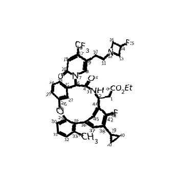 CCOC(=O)C[C@@H]1NC(=O)C(n2cc(CCN3CC(F)C3)c(C(F)(F)F)cc2=O)c2cccc(c2)Oc2cccc(C)c2-c2cc(C3CC3)c(F)c1c2